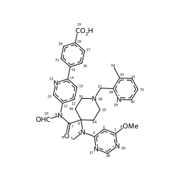 COc1cc(N(C)C2(C(=O)N(C=O)c3ccc(-c4ccc(C(=O)O)cc4)nc3)CCN(Cc3ncccc3C)CC2)ncn1